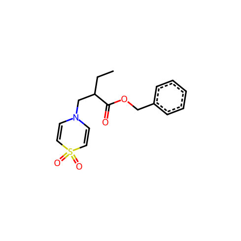 CCC(CN1C=CS(=O)(=O)C=C1)C(=O)OCc1ccccc1